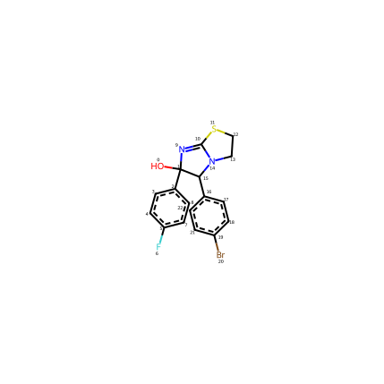 OC1(c2ccc(F)cc2)N=C2SCCN2C1c1ccc(Br)cc1